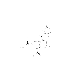 CC(C)OC1C(CO)OC(C(C)C)C(N(CCC(=O)O)CCC(=O)O)C1O